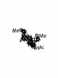 COc1cccc(CC[C@@H](C(=O)N[C@@H](Cc2cc(F)cc(F)c2)[C@H](O)CNCc2cccc(OC)c2)N2CCC(CC3CC3)(NC(C)=O)C2=O)c1